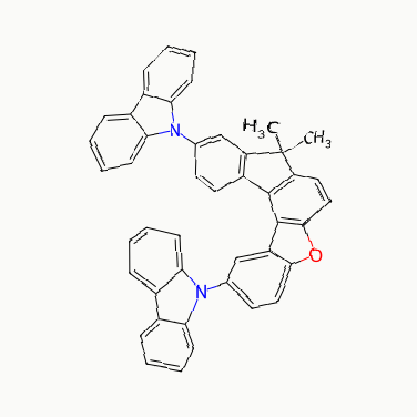 CC1(C)c2cc(-n3c4ccccc4c4ccccc43)ccc2-c2c1ccc1oc3ccc(-n4c5ccccc5c5ccccc54)cc3c21